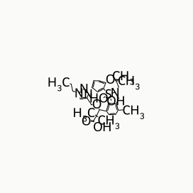 CCCn1cc(COC(c2ccc(C)c(CN3CC(C)(C)Oc4ccccc4S3(O)O)c2)C(C)(C)C(=O)O)nn1